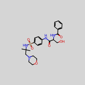 CC(C)(CN1CCOCC1)NS(=O)(=O)c1ccc(NC(=O)C(CO)NC(=O)c2ccccc2)cc1